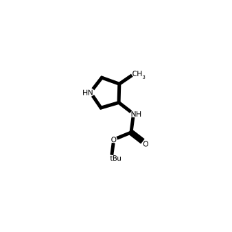 CC1CNCC1NC(=O)OC(C)(C)C